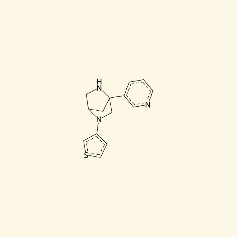 c1cncc(C23CC(CN2)N(c2ccsc2)C3)c1